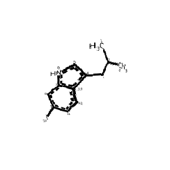 CC(C)Cc1c[nH]c2cc(I)ccc12